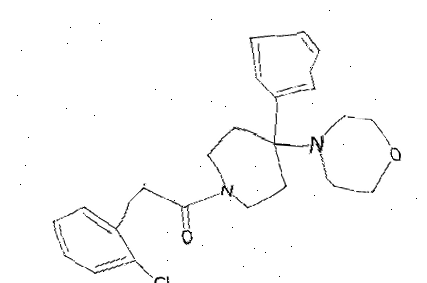 O=C([CH]c1ccccc1Cl)N1CCC(c2ccccc2)(N2CCOCC2)CC1